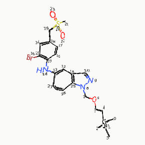 C[Si](C)(C)CCOCn1ncc2cc(Nc3ccc(CS(C)(=O)=O)cc3Br)ccc21